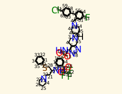 [2H]C1(N2CCc3c(ncnc3NS(=O)(=O)c3ccc(NC(CCN4CCCC4)CSc4ccccc4)c(S(=O)(=O)C(F)(F)F)c3)C2)CCN(Cc2cc(F)ccc2-c2ccc(Cl)cc2)CC1